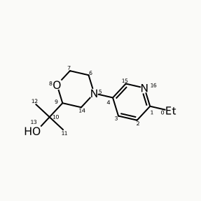 CCc1ccc(N2CCOC(C(C)(C)O)C2)cn1